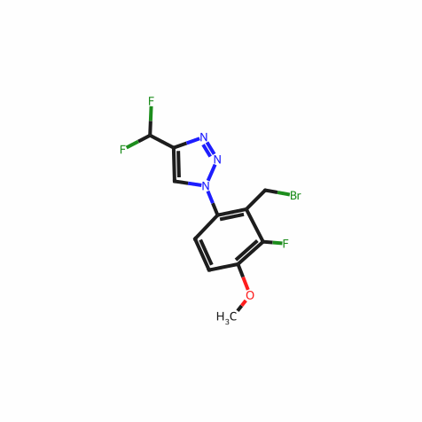 COc1ccc(-n2cc(C(F)F)nn2)c(CBr)c1F